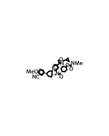 CNC(=O)O[C@H]1CC[C@H](C(=O)N(C[C@H]2CC[C@H](c3ccc(OC)c(C#N)c3)CC2)c2cc(-c3coc(C4CC4)n3)ccn2)CC1